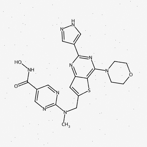 CN(Cc1cc2nc(-c3cn[nH]c3)nc(N3CCOCC3)c2s1)c1ncc(C(=O)NO)cn1